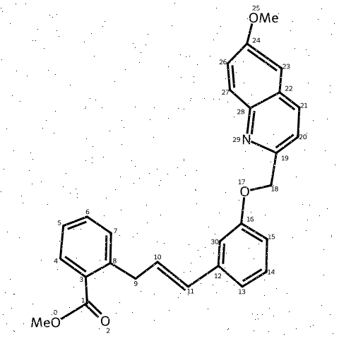 COC(=O)c1ccccc1CC=Cc1cccc(OCc2ccc3cc(OC)ccc3n2)c1